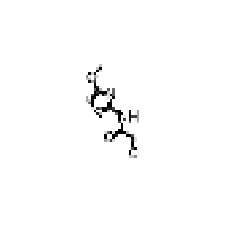 COc1nsc(NC(=O)CCl)n1